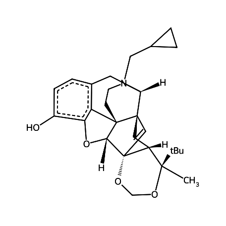 CC(C)(C)[C@@]1(C)OCO[C@]23C=C[C@@]4(C[C@@H]21)[C@H]1Cc2ccc(O)c5c2[C@@]4(CCN1CC1CC1)[C@H]3O5